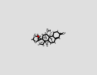 C[C@]12CCC(=O)C=C1CC[C@H]1[C@@H]3CC[C@@]4(OCOC45COCO5)[C@@]3(C)C[C@H](O)[C@@]12F